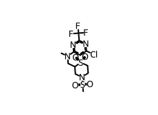 CN(CC1CN(S(C)(=O)=O)CCS1(=O)=O)c1cc(Cl)nc(C(F)(F)F)n1